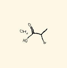 C.CC(Br)C(=O)O